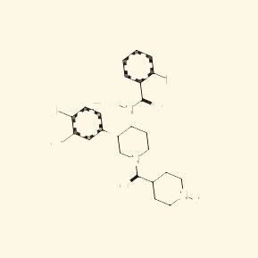 CC(=O)N1CCC(C(=O)N2CC[C@@H](N(C)C(=O)c3ccccc3F)[C@H](c3ccc(Cl)c(Cl)c3)C2)CC1